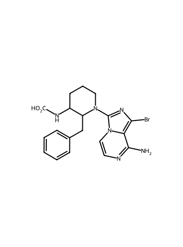 Nc1nccn2c(N3CCCC(NC(=O)O)C3Cc3ccccc3)nc(Br)c12